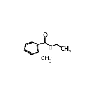 CCOC(=O)c1ccccc1.[CH3]